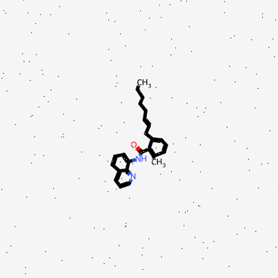 CCCCCC=CCc1cccc(C)c1C(=O)Nc1cccc2cccnc12